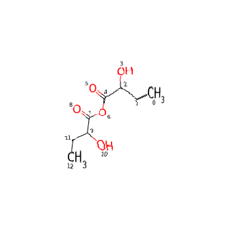 CCC(O)C(=O)OC(=O)C(O)CC